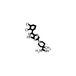 CC1(C(=N)N)CCN(c2cnc3c(-c4cccc(Cl)c4Cl)n[nH]c3n2)CC1